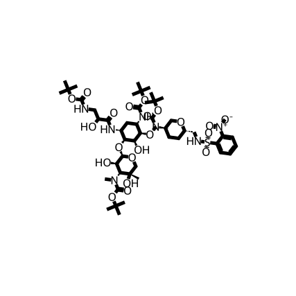 CN(C(=O)OC(C)(C)C)[C@@H]1[C@@H](O)[C@@H](O[C@@H]2[C@H](O)[C@H](ON(C(=O)OC(C)(C)C)[C@@H]3CC[C@@H](CNS(=O)(=O)c4ccccc4[N+](=O)[O-])OC3)[C@@H](NC(=O)OC(C)(C)C)C[C@H]2NC(=O)C(O)CNC(=O)OC(C)(C)C)OC[C@]1(C)O